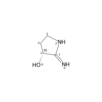 N=C1NCC[C@H]1O